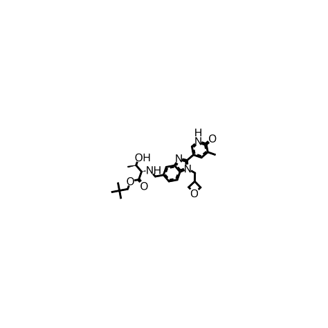 Cc1cc(-c2nc3cc(CN[C@H](C(=O)OCC(C)(C)C)[C@@H](C)O)ccc3n2CC2COC2)c[nH]c1=O